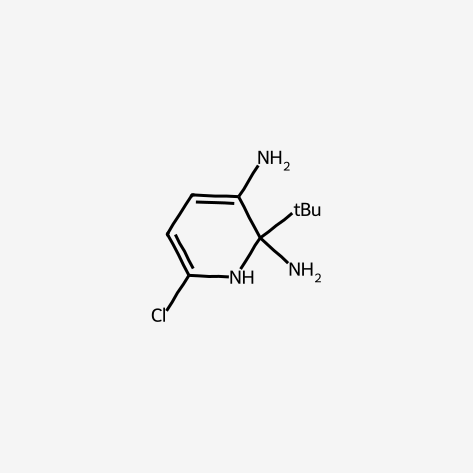 CC(C)(C)C1(N)NC(Cl)=CC=C1N